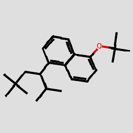 CC(C)C(CC(C)(C)C)c1cccc2c(OC(C)(C)C)cccc12